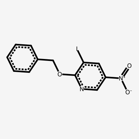 O=[N+]([O-])c1cnc(OCc2ccccc2)c(I)c1